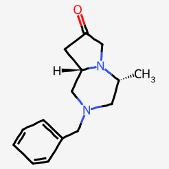 C[C@@H]1CN(Cc2ccccc2)C[C@@H]2CC(=O)CN21